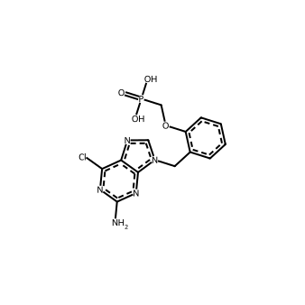 Nc1nc(Cl)c2ncn(Cc3ccccc3OCP(=O)(O)O)c2n1